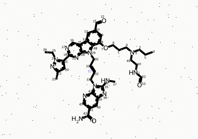 CCCN(CCCOc1cc(C=O)cc2c3cnc(-c4cc(C)nn4CC)nc3n(C/C=C/Cn3c(NC)nc4cc(C(N)=O)cnc43)c12)CCNC=O